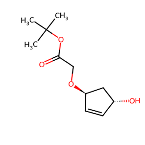 CC(C)(C)OC(=O)CO[C@@H]1C=C[C@@H](O)C1